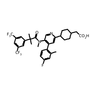 Cc1cc(F)ccc1-c1cc(C2CCC(CC(=O)O)CC2)ncc1N(C)C(=O)C(C)(C)c1cc(C(F)(F)F)cc(C(F)(F)F)c1